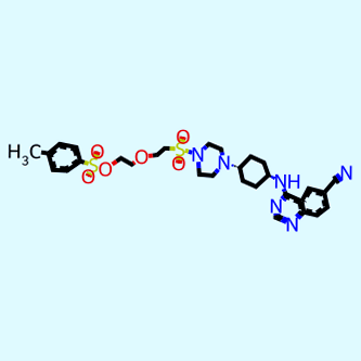 Cc1ccc(S(=O)(=O)OCCOCCS(=O)(=O)N2CCN([C@H]3CC[C@H](Nc4ncnc5ccc(C#N)cc45)CC3)CC2)cc1